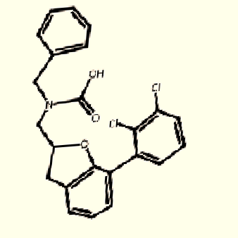 O=C(O)N(Cc1ccccc1)CC1Cc2cccc(-c3cccc(Cl)c3Cl)c2O1